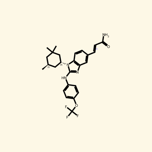 C[C@@H]1C[C@@H](n2c(Nc3ccc(OC(F)(F)F)cc3)nc3cc(/C=C/C(N)=O)ccc32)CC(C)(C)C1